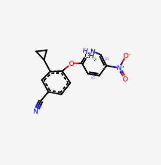 C=C(/C=C\C(=C/N)[N+](=O)[O-])Oc1ccc(C#N)cc1C1CC1